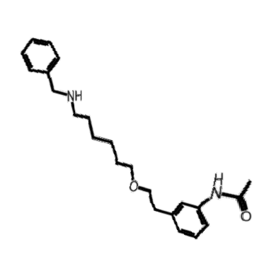 CC(=O)Nc1cccc(CCOCCCCCCNCc2ccccc2)c1